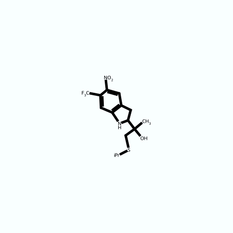 CC(C)SCC(C)(O)C1Cc2cc([N+](=O)[O-])c(C(F)(F)F)cc2N1